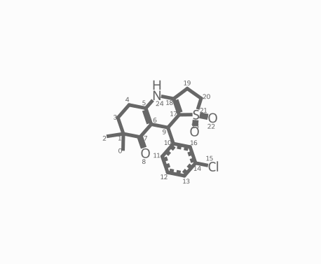 CC1(C)CCC2=C(C1=O)C(c1cccc(Cl)c1)C1=C(CCS1(=O)=O)N2